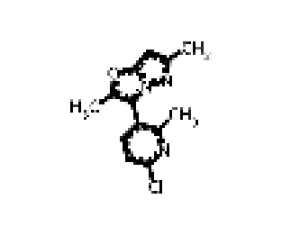 Cc1cc2oc(C)c(-c3ccc(Cl)nc3C)n2n1